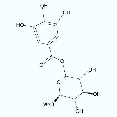 CO[C@H]1OC(OC(=O)c2cc(O)c(O)c(O)c2)[C@H](O)[C@@H](O)[C@@H]1O